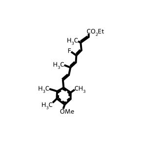 CCOC(=O)/C=C(C)/C=C(F)/C=C(C)/C=C/c1c(C)cc(OC)c(C)c1C